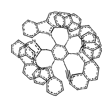 N#Cc1c(-n2c3ccccc3c3ccc4ccccc4c32)c(-c2nc3ccccc3n2-c2ccccc2)c(-n2c3ccccc3c3ccc4ccccc4c32)c(-n2c3ccccc3c3ccc4ccccc4c32)c1-n1c2ccccc2c2ccc3ccccc3c21